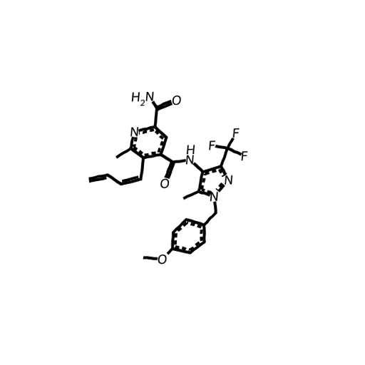 C=C/C=C\c1c(C(=O)Nc2c(C(F)(F)F)nn(Cc3ccc(OC)cc3)c2C)cc(C(N)=O)nc1C